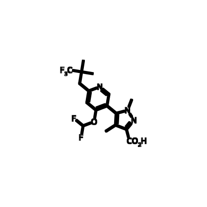 Cc1c(C(=O)O)nn(C)c1-c1cnc(CC(C)(C)C(F)(F)F)cc1OC(F)F